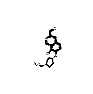 CC[C@H]1CC[C@@H](Oc2ccc3cc(C=O)ncc3c2Cl)CC1